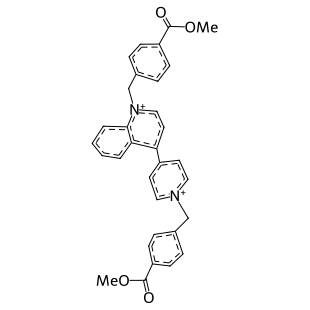 COC(=O)c1ccc(C[n+]2ccc(-c3cc[n+](Cc4ccc(C(=O)OC)cc4)c4ccccc34)cc2)cc1